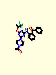 CC(=O)N1CCN(c2nc(Nc3ccccc3C(=O)c3ccccc3)nc(OC(C)C(F)(F)F)n2)CC1